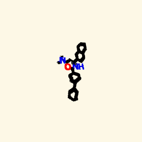 CN(C)CC[C@H](NC(=O)c1ccc(-c2ccccc2)cc1)c1ccc2ccccc2c1